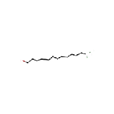 Cl[SiH](Cl)CCCCCCCCCCCCBr